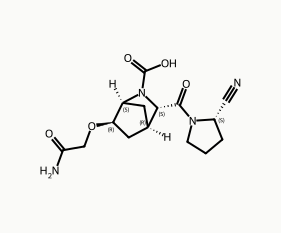 N#C[C@@H]1CCCN1C(=O)[C@@H]1[C@H]2C[C@@H](OCC(N)=O)[C@H](C2)N1C(=O)O